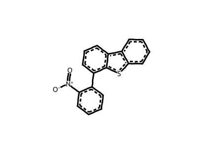 O=[N+]([O-])c1ccccc1-c1cccc2c1sc1ccccc12